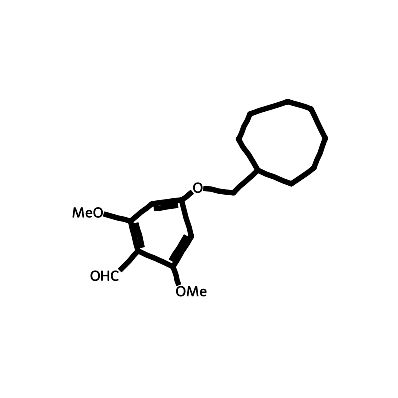 COc1cc(OCC2CCCCCCC2)cc(OC)c1C=O